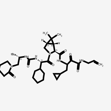 C=CCNC(=O)C(=O)C(CC1CC1)NC(=O)[C@@H]1[C@@H]2[C@H](CN1C(=O)[C@@H](NC(=O)N[C@H](CN1CCCCC1=O)C(C)(C)C)C1CCCCC1)C2(C)C